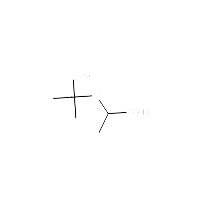 CCCC(C)C(C)(C)OC(C)C(=O)O